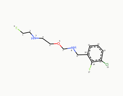 FCCNCCOCNCc1cccc(Cl)c1F